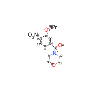 CC(C)Oc1cc(C(=O)N2CCOCC2)ccc1[N+](=O)[O-]